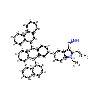 C=Cc1c(C=N)c2cc(-c3ccc4c(-c5cc6ccccc6c6ccccc56)c5ccccc5c(-c5cccc6ccccc56)c4c3)ccc2n1C